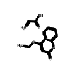 C=CC(=O)O.CCOc1cc(=O)oc2ccccc12